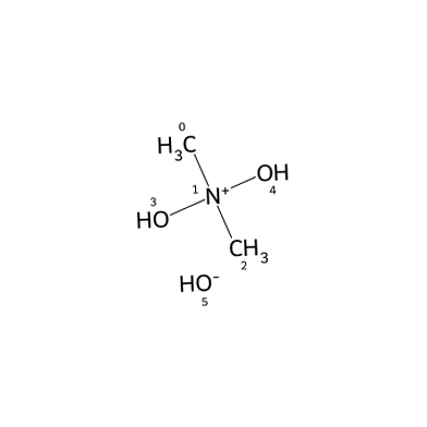 C[N+](C)(O)O.[OH-]